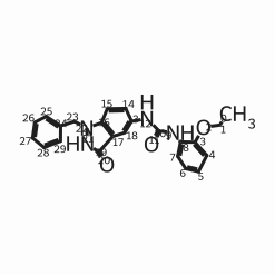 CCOc1ccccc1NC(=O)Nc1ccc2c(c1)c(=O)[nH]n2Cc1ccccc1